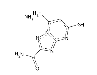 Cc1cc(S)nc2nc(C(N)=O)nn12.N